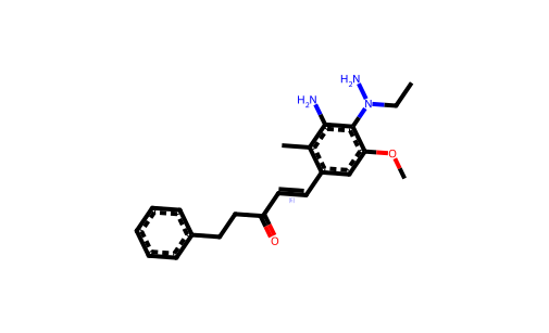 CCN(N)c1c(OC)cc(/C=C/C(=O)CCc2ccccc2)c(C)c1N